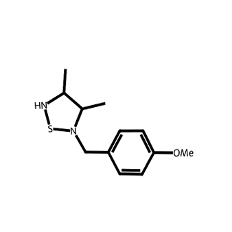 COc1ccc(CN2SNC(C)C2C)cc1